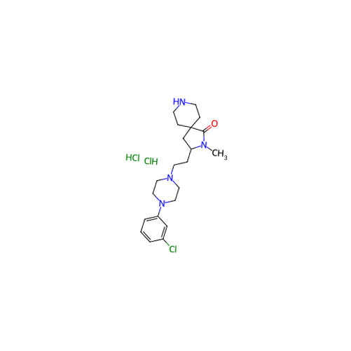 CN1C(=O)C2(CCNCC2)CC1CCN1CCN(c2cccc(Cl)c2)CC1.Cl.Cl